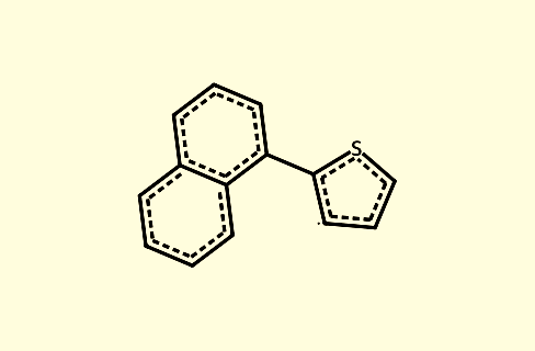 [c]1ccsc1-c1cccc2ccccc12